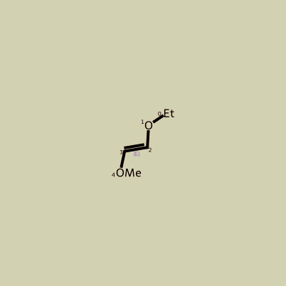 CCO/C=C/OC